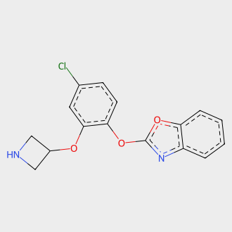 Clc1ccc(Oc2nc3ccccc3o2)c(OC2CNC2)c1